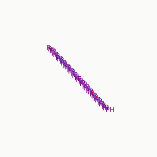 P#P=P\P=P/P=P\P=P/P=P\P=P/P=P\P=P/P=P\P=P/P=P\P=P/P=P\P=P/P=P\P=P/P=P\P=P/P=P\P=P/P=P\P=P/P=P\P=P/P=P\P=P/P=P\P=P/P=P\P=P